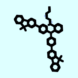 C=C/C=C\C=C(/C)c1ccccc1N(c1ccc(-c2ccc3c(c2)C(C)(C)c2ccccc2-3)cc1)c1ccc(-c2ccc3c(c2)C(C)(C)c2ccccc2-3)cc1